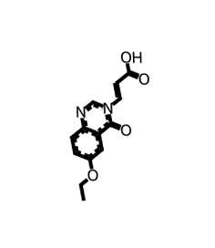 CCOc1ccc2ncn(/C=C/C(=O)O)c(=O)c2c1